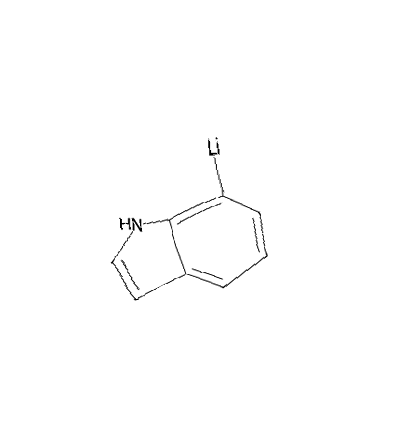 [Li][c]1cccc2cc[nH]c12